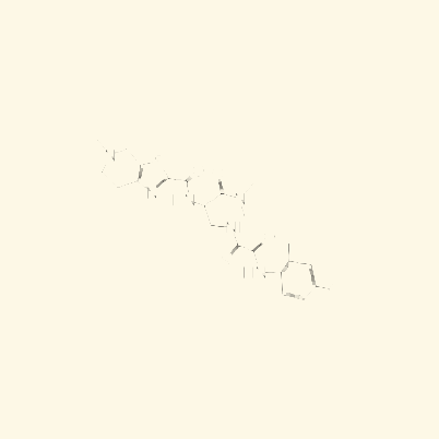 Cc1cc(Cl)ccc1NC(=O)C(=S)NCC(NC(=O)c1nc2c(s1)CN(C)CC2)C(=O)N(C)C